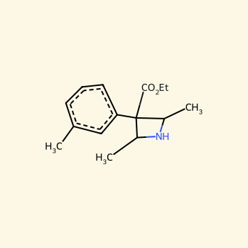 CCOC(=O)C1(c2cccc(C)c2)C(C)NC1C